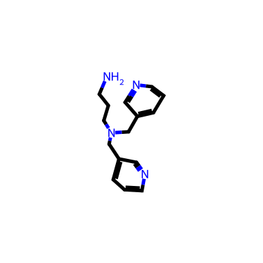 NCCCN(Cc1cccnc1)Cc1cccnc1